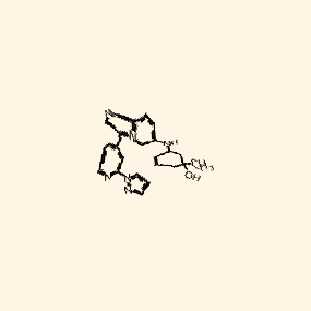 CC1(O)CCCC(Nc2ccc3ncc(-c4ccnc(-n5cccn5)c4)n3c2)C1